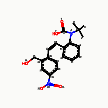 CC(C)(C)N(C(=O)O)c1ccccc1/C=C\c1ccc([N+](=O)[O-])cc1CO